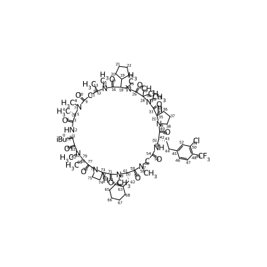 CC[C@H](C)[C@@H]1NC(=O)[C@H](C)N(C)C(=O)C[C@@H](C)N(C)C(=O)C(C2CCCC2)N(C)C(=O)C(C)(C)N(C)C(=O)[C@@H]2CCCN2C(=O)[C@H](CCc2ccc(C(F)(F)F)c(Cl)c2)NC(=O)CN(C)C(=O)[C@H](CC2CCCCC2)N(C)C(=O)[C@@H]2CCN2C(=O)[C@H](C)N(C)C1=O